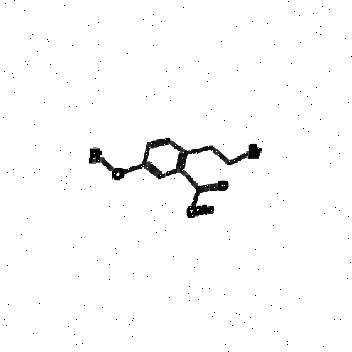 CCOc1ccc(CCBr)c(C(=O)OC)c1